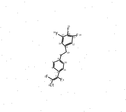 CCC(F)=C(F)c1ccc(CCc2cc(F)c(F)c(F)c2)cc1